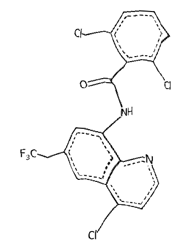 O=C(Nc1cc(C(F)(F)F)cc2c(Cl)ccnc12)c1c(Cl)cccc1Cl